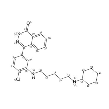 O=c1[nH]nc(-c2ccc(Cl)c(NCCCCCNC3CCCCC3)c2)c2ccccc12